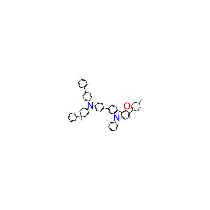 CC1C=Cc2c(oc3c2ccc2c3c3ccc(-c4ccc(N(C5=CCC(C)(c6ccccc6)C=C5)c5ccc(-c6ccccc6)cc5)cc4)cc3n2-c2ccccc2)C1